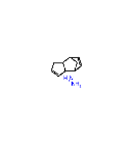 C1=CC2C3C=CC(C3)C2C1.N.N